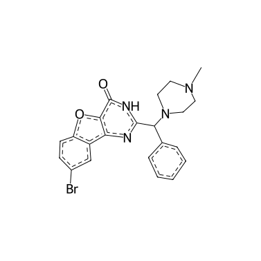 CN1CCN(C(c2ccccc2)c2nc3c(oc4ccc(Br)cc43)c(=O)[nH]2)CC1